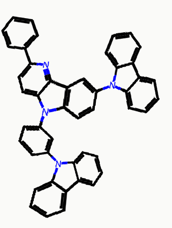 c1ccc(-c2ccc3c(n2)c2cc(-n4c5ccccc5c5ccccc54)ccc2n3-c2cccc(-n3c4ccccc4c4ccccc43)c2)cc1